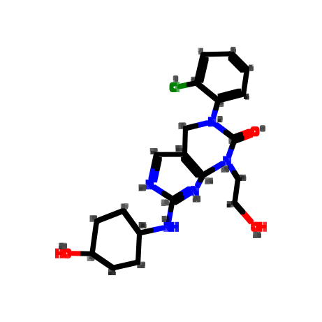 O=C1N(c2ccccc2Cl)Cc2cnc(NC3CCC(O)CC3)nc2N1CCO